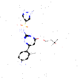 Cc1cc(N)ccc1-c1cc(OCCC(C)(C)O)nc(NS(=O)(=O)c2cnn(C)c2)n1